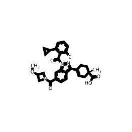 COC1CN(C(=O)c2ccc3c(C4=CC[C@@](C)(C(=O)O)CC4)nn(C(=O)c4c(Cl)cccc4C4CC4)c3c2)C1